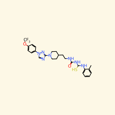 Cc1ccccc1NC(S)NC(=O)NCCC1CCN(c2ncn(-c3ccc(OC(F)(F)F)cc3)n2)CC1